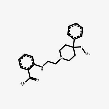 CCCCOC1(c2ccccc2)CCN(CCNc2ccccc2C(N)=O)CC1